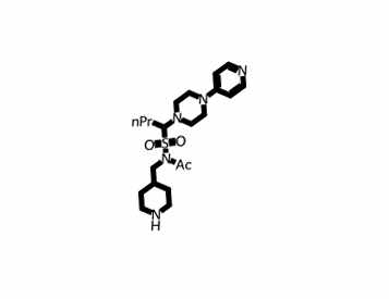 CCCC(N1CCN(c2ccncc2)CC1)S(=O)(=O)N(CC1CCNCC1)C(C)=O